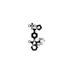 CS(=O)(=O)N=C(c1ccc(N2C(=O)N3CCC[CH][C@@H]3C2C(N)=O)cc1)N1CCCC1